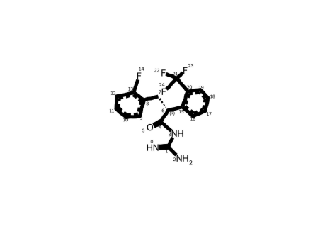 N=C(N)NC(=O)[C@H](Cc1ccccc1F)c1ccccc1C(F)(F)F